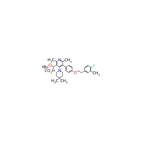 Cc1cc(CCOc2ccc(-c3c(C)nc(C)c([C@H](OC(C)(C)C)C(=O)O)c3N3CCC(C)(C)CC3)cc2)ccc1F